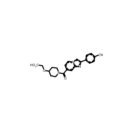 N#Cc1ccc(-c2cn3ccc(C(=O)N4CCC(OCC(=O)O)CC4)cc3n2)cc1